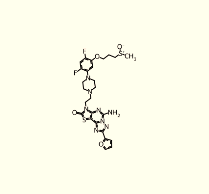 C[S+]([O-])CCCOc1cc(N2CCN(CCn3c(=O)sc4c3nc(N)n3nc(-c5ccco5)nc43)CC2)c(F)cc1F